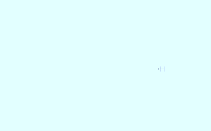 CCCCCC1=C(O)CCC1